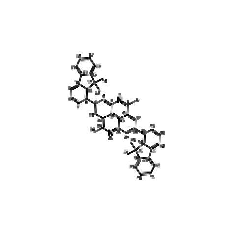 Cc1nc2cc(-c3cccc4c3C(C)(C)c3ccccc3-4)cc3c(C)nc4cc(-c5cccc6c5C(C)(C)c5ccccc5-6)cc1c4c23